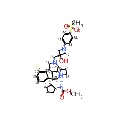 COC(=O)N[C@H]1CCC[C@@H]1C(CN1CCC1)(c1cccc(F)c1)C1CCN(CC2(O)CN(c3ccc(S(C)(=O)=O)cc3)C2)CC1